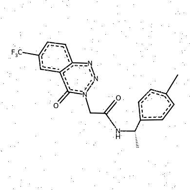 Cc1ccc([C@H](C)NC(=O)Cn2nnc3ccc(C(F)(F)F)cc3c2=O)cc1